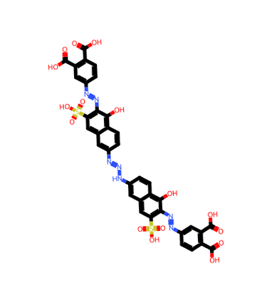 O=C(O)c1ccc(/N=N/c2c(S(=O)(=O)O)cc3cc(/N=N/Nc4ccc5c(O)c(/N=N/c6ccc(C(=O)O)c(C(=O)O)c6)c(S(=O)(=O)O)cc5c4)ccc3c2O)cc1C(=O)O